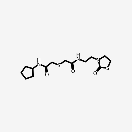 O=C(CSCC(=O)NC1CCCC1)NCCN1CCSC1=O